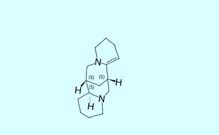 C1=C2[C@H]3C[C@@H](CN2CCC1)[C@@H]1CCCCN1C3